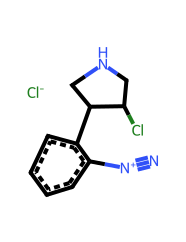 N#[N+]c1ccccc1C1CNCC1Cl.[Cl-]